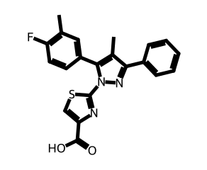 Cc1cc(-c2c(C)c(-c3ccccc3)nn2-c2nc(C(=O)O)cs2)ccc1F